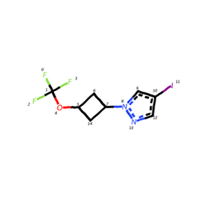 FC(F)(F)OC1CC(n2cc(I)cn2)C1